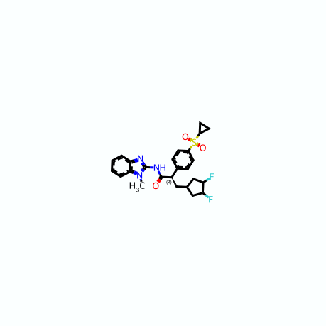 Cn1c(NC(=O)[C@H](CC2CC(F)C(F)C2)c2ccc(S(=O)(=O)C3CC3)cc2)nc2ccccc21